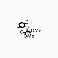 CO/C=C(\Oc1cc(I)ccc1C)C(=O)OC